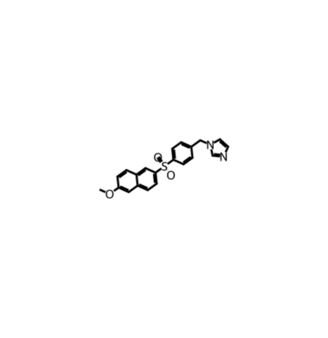 COc1ccc2cc(S(=O)(=O)c3ccc(Cn4ccnc4)cc3)ccc2c1